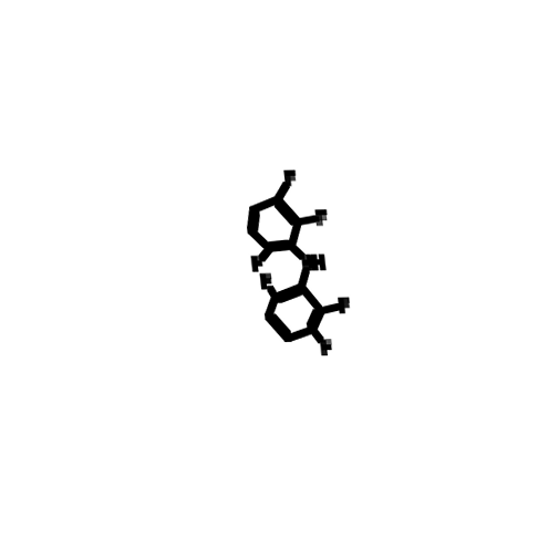 Fc1ccc(F)c(Bc2c(F)ccc(F)c2F)c1F